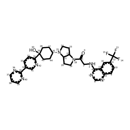 O=C(CNc1ncnc2ccc(C(F)(F)F)cc12)N1CCC2C1CCN2[C@H]1CC[C@@](O)(c2ccc(-c3ncccn3)cn2)CC1